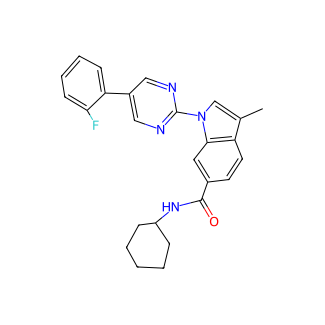 Cc1cn(-c2ncc(-c3ccccc3F)cn2)c2cc(C(=O)NC3CCCCC3)ccc12